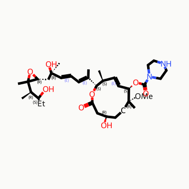 CC[C@H](O)[C@@H](C)C1(C)O[C@@H]1C[C@@](C)(O)/C=C/C=C(\C)[C@H]1OC(=O)C[C@H](O)CC[C@@](C)(OC)[C@@H](OC(=O)N2CCNCC2)/C=C/[C@@H]1C